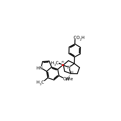 COc1cc(C)c2[nH]ccc2c1CN1[C@H]2CCC1(c1ccc(C(=O)O)cc1)C[C@H](C)C2